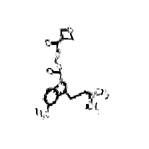 Cc1ccc2c(c1)c(CCN(C)C)cn2C(=O)OCOC(=O)C1COC1